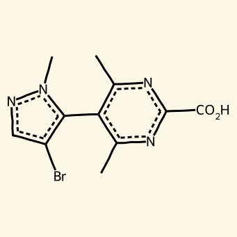 Cc1nc(C(=O)O)nc(C)c1-c1c(Br)cnn1C